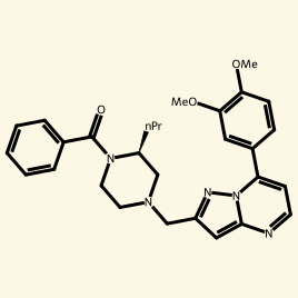 CCC[C@H]1CN(Cc2cc3nccc(-c4ccc(OC)c(OC)c4)n3n2)CCN1C(=O)c1ccccc1